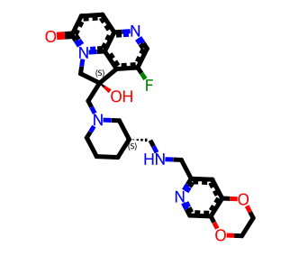 O=c1ccc2ncc(F)c3c2n1C[C@@]3(O)CN1CCC[C@@H](CNCc2cc3c(cn2)OCCO3)C1